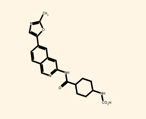 Cc1ncc(-c2ccc3cnc(NC(=O)C4CCC(NC(=O)O)CC4)cc3c2)o1